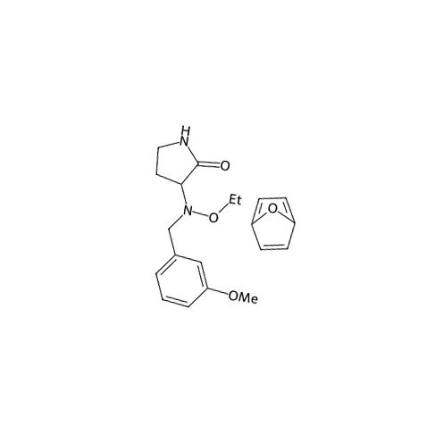 CCON(Cc1cccc(OC)c1)C1CCNC1=O.c1cc2ccc1o2